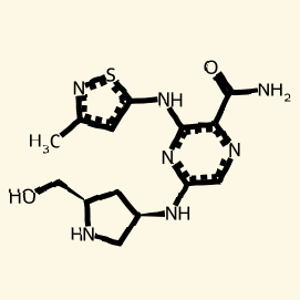 Cc1cc(Nc2nc(N[C@H]3CN[C@@H](CO)C3)cnc2C(N)=O)sn1